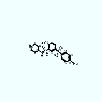 Cc1ccc(S(=O)(=O)c2ccc(F)cc2)cc1S(=O)(=O)NC1CCNCC1